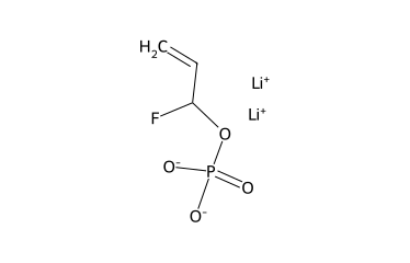 C=CC(F)OP(=O)([O-])[O-].[Li+].[Li+]